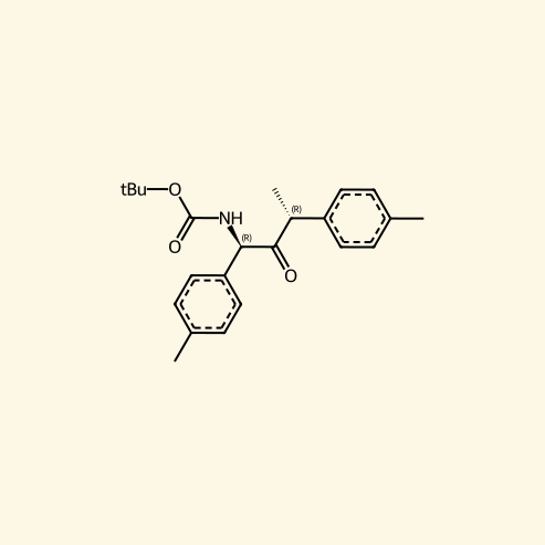 Cc1ccc([C@@H](C)C(=O)[C@H](NC(=O)OC(C)(C)C)c2ccc(C)cc2)cc1